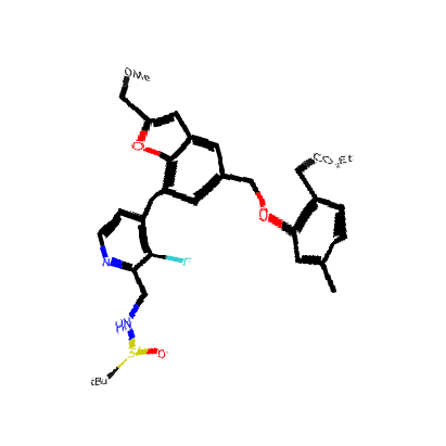 CCOC(=O)Cc1ccc(C)cc1OCc1cc(-c2ccnc(CN[S@@+]([O-])C(C)(C)C)c2F)c2oc(COC)cc2c1